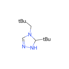 CC(C)(C)CN1C=NNC1C(C)(C)C